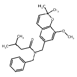 COc1cc(CN(Cc2ccccc2)C(=O)CC(C)C)cc2c1OC(C)(C)C=C2